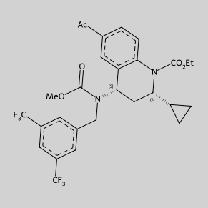 CCOC(=O)N1c2ccc(C(C)=O)cc2[C@@H](N(Cc2cc(C(F)(F)F)cc(C(F)(F)F)c2)C(=O)OC)C[C@H]1C1CC1